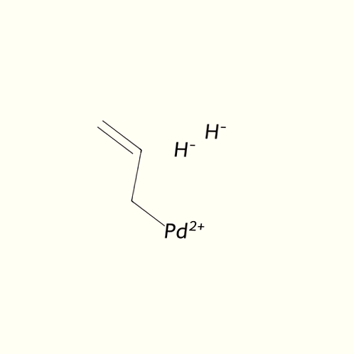 C=C[CH2][Pd+2].[H-].[H-]